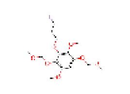 COCOc1cc(OC)c(OCOC)c(OCCCI)c1OC